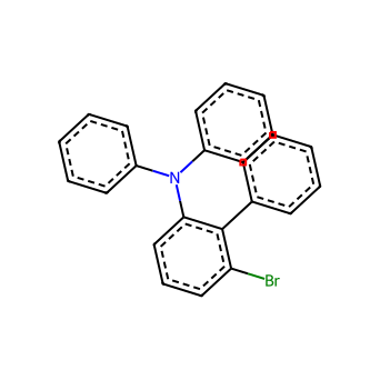 Brc1cccc(N(c2ccccc2)c2ccccc2)c1-c1ccccc1